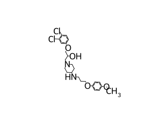 COc1ccc(OCCCNC2CCN(CC(O)COc3ccc(Cl)c(Cl)c3)CC2)cc1